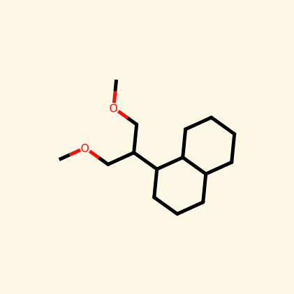 COCC(COC)C1CCCC2CCCCC21